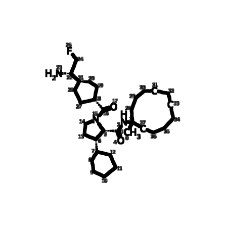 CC1(NC(=O)[C@@H]2[C@H](C3CCCCC3)CCN2C(=O)[C@H]2CC[C@H]([C@H](N)CF)CC2)CCCCCCCCCC1